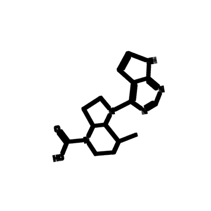 CC1CCN(C(=O)O)C2CCN(c3ncnc4[nH]ccc34)C12